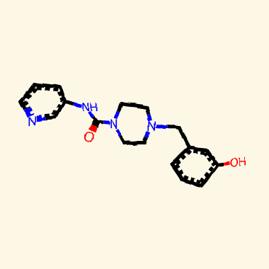 O=C(Nc1cccnc1)N1CCN(Cc2cccc(O)c2)CC1